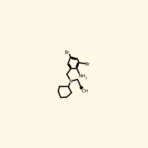 C#CCN(Cc1cc(Br)cc(Br)c1N)C1CCCCC1